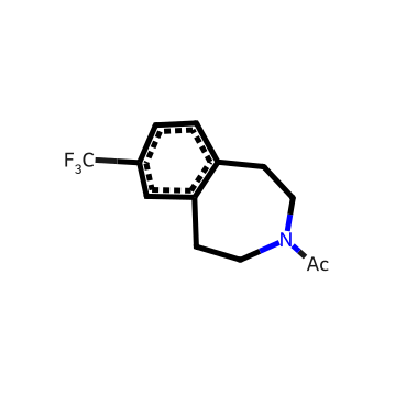 CC(=O)N1CCc2ccc(C(F)(F)F)cc2CC1